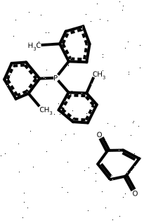 Cc1ccccc1P(c1ccccc1C)c1ccccc1C.O=C1C=CC(=O)C=C1